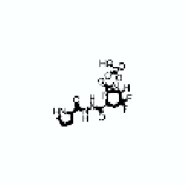 O=C(NNC(=O)[C@@H]1CC(F)(F)[C@@H]2CN1C(=O)N2OS(=O)(=O)O)C1CCCN1